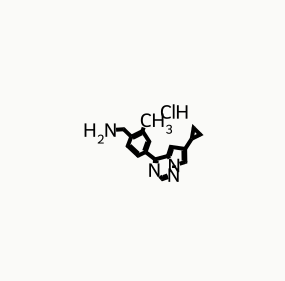 Cc1cc(-c2ncnn3cc(C4CC4)cc23)ccc1CN.Cl